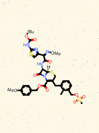 CO/N=C(\C(=O)N[C@@H]1C(=O)N2C(C(=O)OCc3ccc(OC)cc3)=C(Cc3cccc(COS(C)(=O)=O)c3C)CS[C@H]12)c1csc(NC(=O)OC(C)(C)C)n1